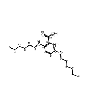 CCCCCCSc1ccc(SCCCCCC)c(C(=O)O)n1